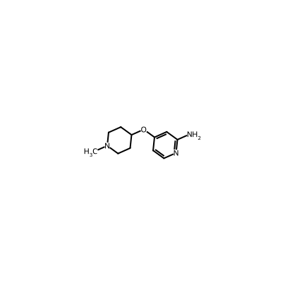 CN1CCC(Oc2ccnc(N)c2)CC1